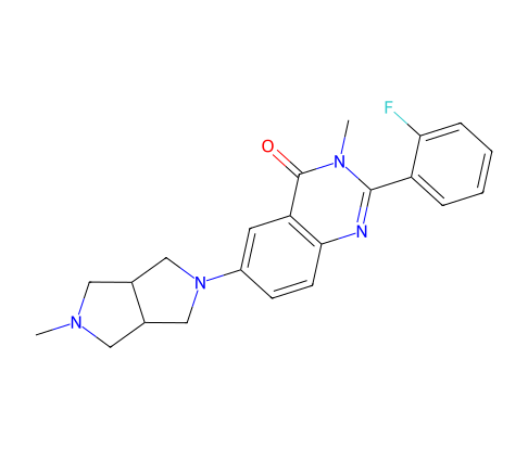 CN1CC2CN(c3ccc4nc(-c5ccccc5F)n(C)c(=O)c4c3)CC2C1